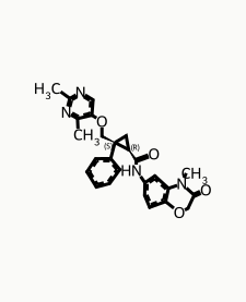 Cc1ncc(OC[C@@]2(c3ccccc3)C[C@H]2C(=O)Nc2ccc3c(c2)N(C)C(=O)CO3)c(C)n1